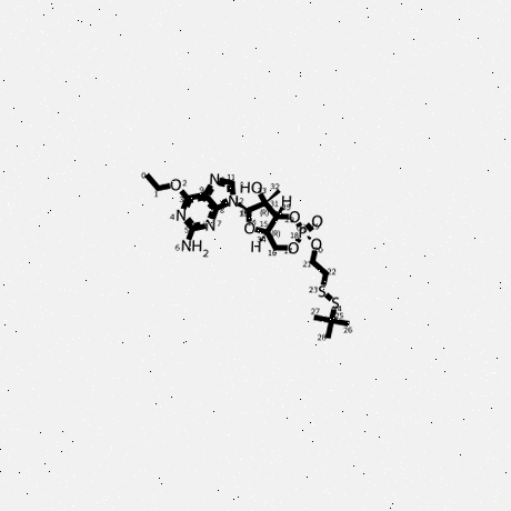 CCOc1nc(N)nc2c1ncn2[C@@H]1O[C@@H]2CO[P@@](=O)(OCCSSC(C)(C)C)O[C@H]2[C@@]1(C)O